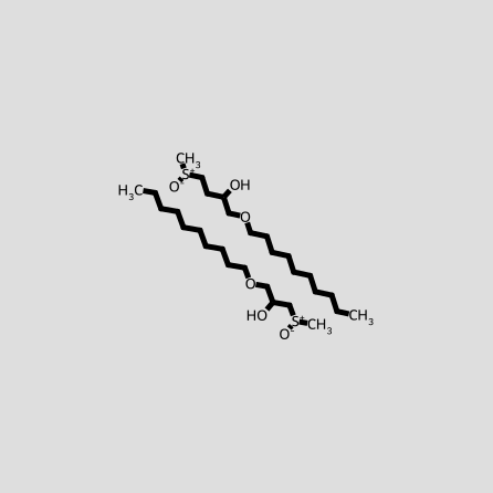 CCCCCCCCCCOCC(O)CC[S+](C)[O-].CCCCCCCCCCOCC(O)C[S+](C)[O-]